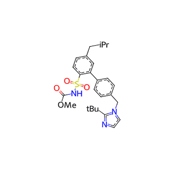 COC(=O)NS(=O)(=O)c1ccc(CC(C)C)cc1-c1ccc(Cn2ccnc2C(C)(C)C)cc1